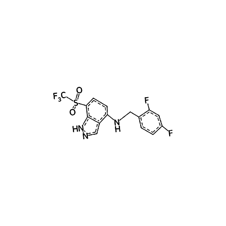 O=S(=O)(c1ccc(NCc2ccc(F)cc2F)c2cn[nH]c12)C(F)(F)F